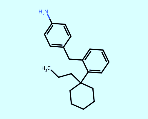 CCCC1(c2ccccc2Cc2ccc(N)cc2)CCCCC1